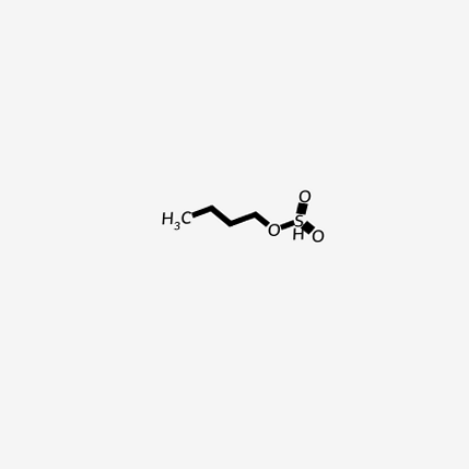 CCCCO[SH](=O)=O